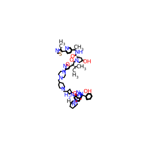 Cc1ncsc1-c1ccc([C@H](C)NC(=O)[C@@H]2C[C@@H](O)CN2C(=O)[C@@H](c2cc(N3CCN(CC4CCN(CC5CC(Oc6cc(N7C8CC[C@@H]7CN(c7cc(-c9ccccc9O)nnc7N)C8)ccn6)C5)CC4)CC3)no2)C(C)C)cn1